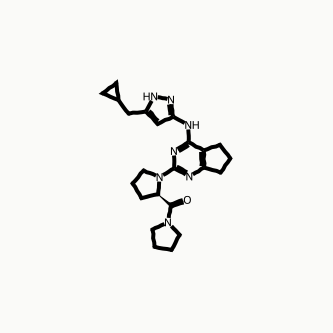 O=C([C@H]1CCCN1c1nc2c(c(Nc3cc(CC4CC4)[nH]n3)n1)CCC2)N1CCCC1